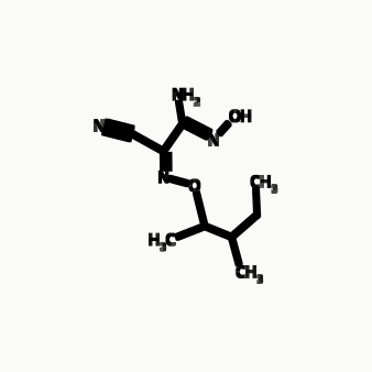 CCC(C)C(C)ON=C(C#N)C(N)=NO